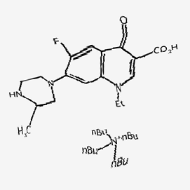 CCCC[N+](CCCC)(CCCC)CCCC.CCn1cc(C(=O)O)c(=O)c2cc(F)c(N3CCNC(C)C3)cc21